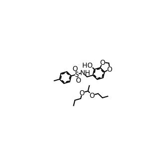 CCCOC(C)OCCC.Cc1ccc(S(=O)(=O)NCc2ccc3c(c2O)OCO3)cc1